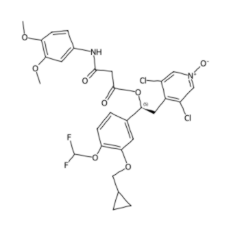 COc1ccc(NC(=O)CC(=O)O[C@@H](Cc2c(Cl)c[n+]([O-])cc2Cl)c2ccc(OC(F)F)c(OCC3CC3)c2)cc1OC